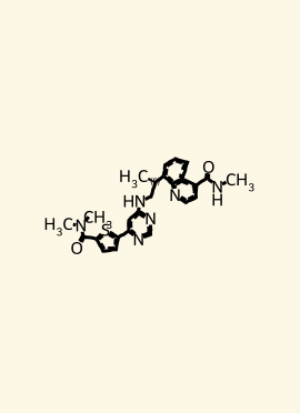 CNC(=O)c1ccnc2c([C@H](C)CNc3cc(-c4ccc(C(=O)N(C)C)s4)ncn3)cccc12